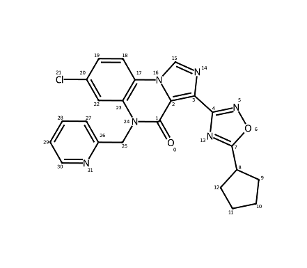 O=c1c2c(-c3noc(C4CCCC4)n3)ncn2c2ccc(Cl)cc2n1Cc1ccccn1